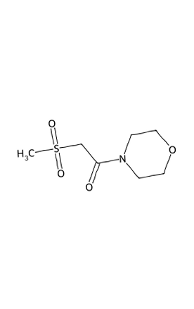 CS(=O)(=O)CC(=O)N1CCOCC1